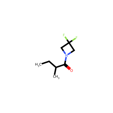 CCC(C)C(=O)N1CC(F)(F)C1